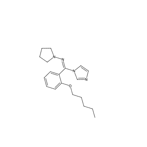 CCCCCOc1ccccc1/C(=N\N1CCCC1)n1ccnc1